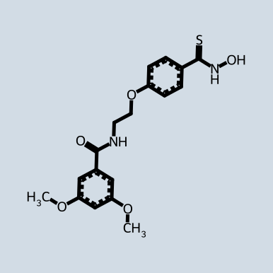 COc1cc(OC)cc(C(=O)NCCOc2ccc(C(=S)NO)cc2)c1